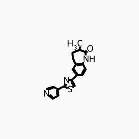 CC1CCc2cc(-c3csc(-c4ccncc4)n3)ccc2NC1=O